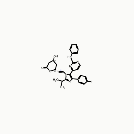 CC(C)c1nc(-c2ccc(F)cc2)c(-c2ccnc(Nc3ccccc3)n2)n1/C=C/[C@H]1C[C@H](O)CC(=O)O1